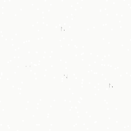 COC(=O)C(C)c1ncccc1-c1c(N)cc(C)nc1F